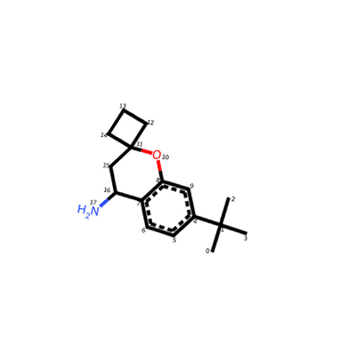 CC(C)(C)c1ccc2c(c1)OC1(CCC1)CC2N